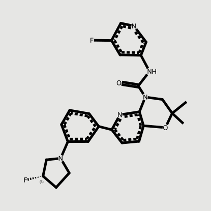 CC1(C)CN(C(=O)Nc2cncc(F)c2)c2nc(-c3cccc(N4CC[C@H](F)C4)c3)ccc2O1